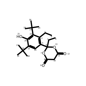 CCc1c(C2(CC)OC(=O)CC(=O)O2)cc(C(C)(C)C)c(O)c1C(C)(C)C